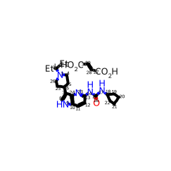 CCC(CC)N1CCC(c2c[nH]c3ccc(NC(=O)NC4CCCC4)nc23)CC1.O=C(O)C=CC(=O)O